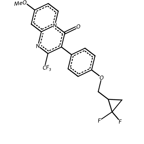 COc1ccn2c(=O)c(-c3ccc(OCC4CC4(F)F)cc3)c(C(F)(F)F)nc2c1